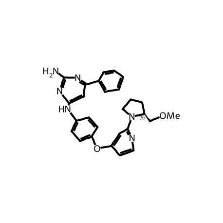 COC[C@@H]1CCCN1c1cc(Oc2ccc(Nc3cc(-c4ccccc4)nc(N)n3)cc2)ccn1